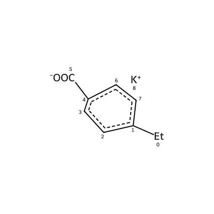 CCc1ccc(C(=O)[O-])cc1.[K+]